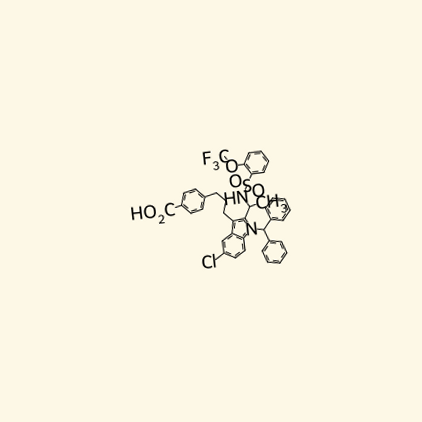 CC(NS(=O)(=O)c1ccccc1OC(F)(F)F)c1c(CCCc2ccc(C(=O)O)cc2)c2cc(Cl)ccc2n1C(c1ccccc1)c1ccccc1